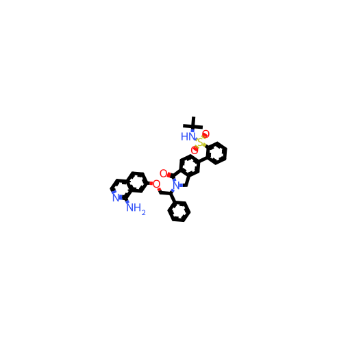 CC(C)(C)NS(=O)(=O)c1ccccc1-c1ccc2c(c1)CN(C(COc1ccc3ccnc(N)c3c1)c1ccccc1)C2=O